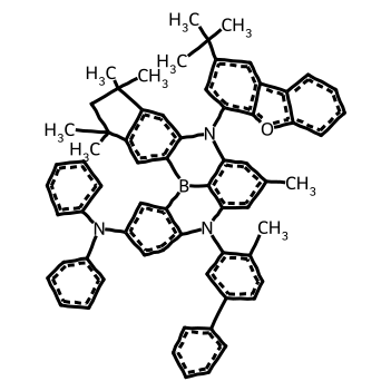 Cc1cc2c3c(c1)N(c1cc(C(C)(C)C)cc4c1oc1ccccc14)c1cc4c(cc1B3c1cc(N(c3ccccc3)c3ccccc3)ccc1N2c1cc(-c2ccccc2)ccc1C)C(C)(C)CC4(C)C